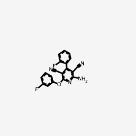 N#Cc1c(N)nc(Oc2cccc(F)c2)c(C#N)c1-c1ccccc1F